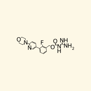 N=C(N)NC(=O)OCc1cccc(-c2ccc(N3CCOCC3)nc2)c1F